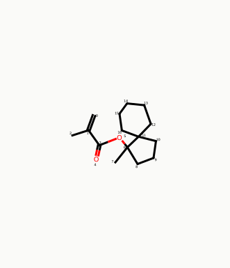 C=C(C)C(=O)OC1(C)CCCC12CCCCC2